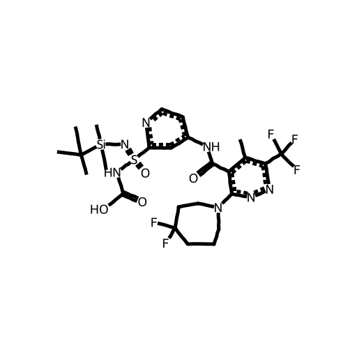 Cc1c(C(F)(F)F)nnc(N2CCCC(F)(F)CC2)c1C(=O)Nc1ccnc(S(=O)(=N[Si](C)(C)C(C)(C)C)NC(=O)O)c1